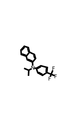 CC(C)N(c1ccc(C(F)(F)F)cc1)c1ccc2ccccc2c1